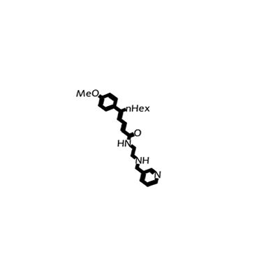 CCCCCC/C(=C\C=C\C(=O)NCCNCc1cccnc1)c1ccc(OC)cc1